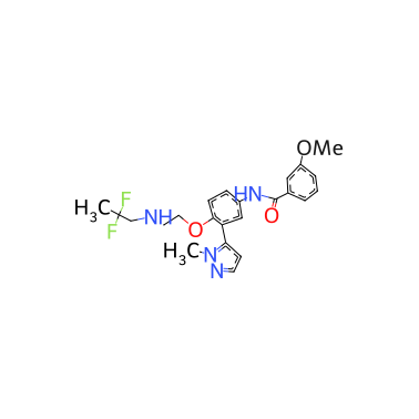 COc1cccc(C(=O)Nc2ccc(OCCNCC(C)(F)F)c(-c3ccnn3C)c2)c1